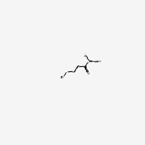 CON(C)C(=O)CCSC(C)C